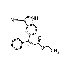 CCOC(=O)/C=C(/c1ccccc1)c1ccc2[nH]cc(C#N)c2c1